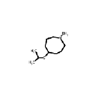 BN1CCCC(SC(C)C)CCC1